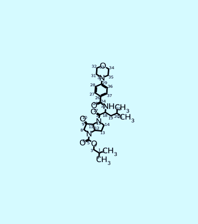 CC(C)COC(=O)N1CC(=O)C2C1CCN2C(=O)C(CC(C)C)NC(=O)c1ccc(N2CCOCC2)cc1